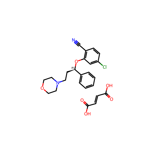 N#Cc1ccc(Cl)cc1O[C@H](CCN1CCOCC1)c1ccccc1.O=C(O)C=CC(=O)O